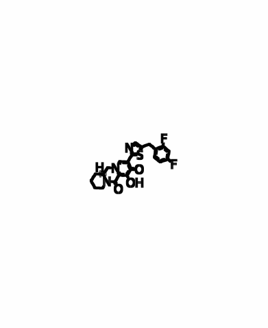 O=C1c2c(O)c(=O)c(-c3ncc(Cc4ccc(F)cc4F)s3)cn2C[C@@H]2CCCCN12